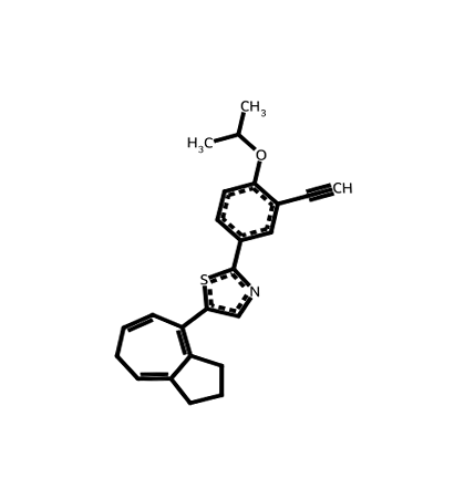 C#Cc1cc(-c2ncc(C3=C4CCCC4=CCC=C3)s2)ccc1OC(C)C